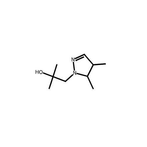 CC1C=NN(CC(C)(C)O)C1C